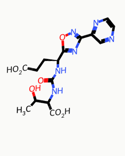 CC(O)C(NC(=O)N[C@@H](CCC(=O)O)c1nc(-c2cnccn2)no1)C(=O)O